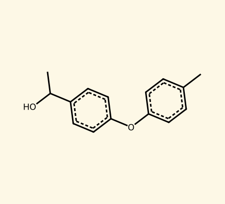 Cc1ccc(Oc2ccc(C(C)O)cc2)cc1